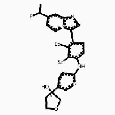 CCc1c(-c2cnc3cc(C(C)F)ccn23)ccc(Nc2ccc([C@@]3(O)CCOC3)cn2)c1C(C)=O